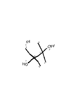 CC(C)(O)C(C)(C)O.[KH]